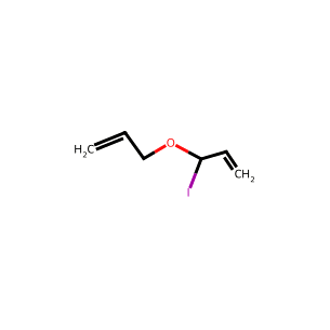 C=CCOC(I)C=C